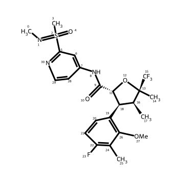 CN=S(C)(=O)c1cc(NC(=O)[C@@H]2O[C@@](C)(C(F)(F)F)[C@@H](C)[C@H]2c2ccc(F)c(C)c2OC)ccn1